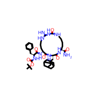 CC(C)(C)OC(=O)N[C@@H](Cc1ccccc1)C(=O)N[C@@H]1CCCNC(=N)NC(=O)NCCCC[C@@H](C(N)=O)NC(=O)[C@H](CC23CC4CC(CC(C4)C2)C3)NC1=O